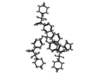 CC(C)(C(=O)c1ccc(CC2(Cc3ccc(C(=O)C(C)(C)N4CCOCC4)cc3)c3cc(C(=O)c4ccco4)ccc3-c3ccc(C(=O)C(C)(C)N4CCOCC4)cc32)cc1)N1CCOCC1